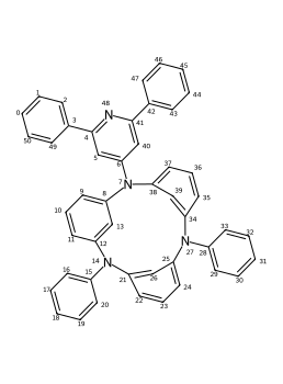 c1ccc(-c2cc(N3c4cccc(c4)N(c4ccccc4)c4cccc(c4)N(c4ccccc4)c4cccc3c4)cc(-c3ccccc3)n2)cc1